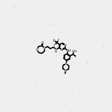 CC(O)c1cc(N2CCN(C)CC2)ccc1Nc1ncc(C(F)(F)F)c(NCCCN2CCCOCC2=O)n1